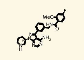 COc1cc(F)ccc1C(=O)NCc1cccc(-c2nn([C@@H]3CCCNC3)c3ncnc(N)c23)c1